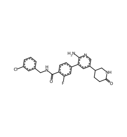 Nc1ncc(C2CCC(=O)NC2)cc1-c1ccc(C(=O)NCc2cccc(Cl)c2)c(F)c1